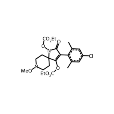 CCOC(=O)OC1=C(c2c(C)cc(Cl)cc2C)C(=O)N(OC(=O)OCC)C12CCN(OC)CC2